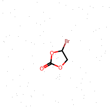 O=C1OCC(Br)O1